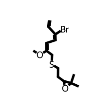 C=C/C(Br)=C\C=C(/CSCCC1OC1(C)C)OC